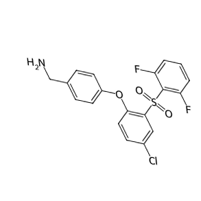 NCc1ccc(Oc2ccc(Cl)cc2S(=O)(=O)c2c(F)cccc2F)cc1